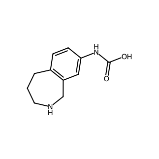 O=C(O)Nc1ccc2c(c1)CNCCC2